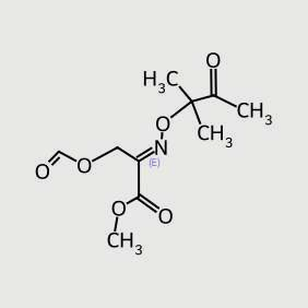 COC(=O)/C(COC=O)=N/OC(C)(C)C(C)=O